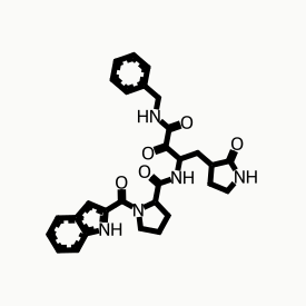 O=C(NCc1ccccc1)C(=O)C(CC1CCNC1=O)NC(=O)C1CCCN1C(=O)c1cc2ccccc2[nH]1